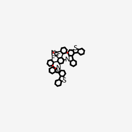 N#Cc1ccccc1-c1c(-n2c3ccccc3c3c4c(ccc32)sc2ccccc24)cc(-n2c3ccccc3c3c4c(ccc32)sc2ccccc24)c(-c2ccccc2C#N)c1C(F)(F)F